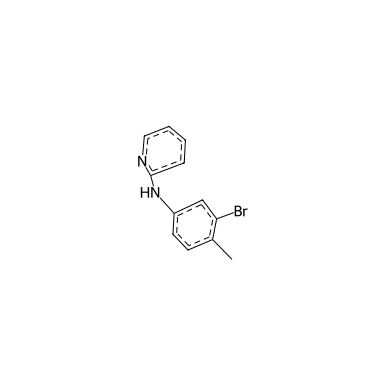 Cc1ccc(Nc2ccccn2)cc1Br